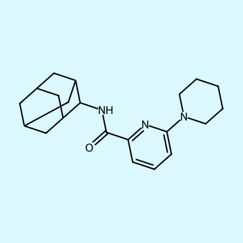 O=C(NC1C2CC3CC(C2)CC1C3)c1cccc(N2CCCCC2)n1